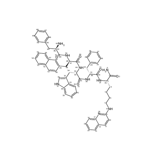 NC(=O)[C@H](CCCCNc1ccc2ccccc2n1)NC(=O)[C@@H](Cc1ccccc1)NC(=O)[C@H](Cc1c[nH]c2ccccc12)NC(=O)[C@@H](Cc1ccc2ccccc2c1)NC(=O)[C@H](N)Cc1ccccc1